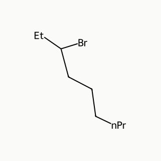 CCCCCCC(Br)CC